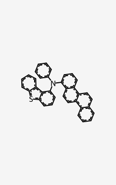 c1ccc(N(c2cccc3c2ccc2c4ccccc4ccc32)c2cccc3sc4ccccc4c23)cc1